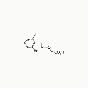 O=C(O)CON=Cc1c(Br)cccc1I